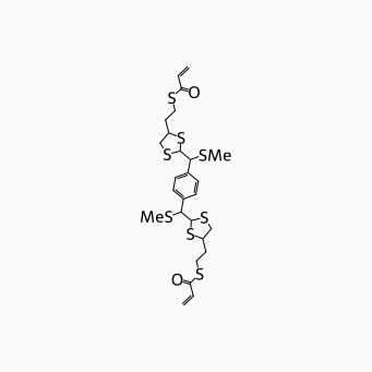 C=CC(=O)SCCC1CSC(C(SC)c2ccc(C(SC)C3SCC(CCSC(=O)C=C)S3)cc2)S1